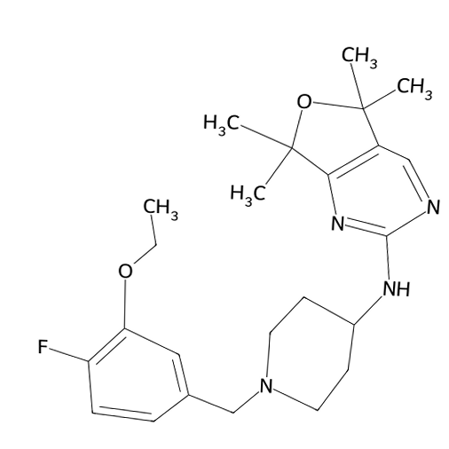 CCOc1cc(CN2CCC(Nc3ncc4c(n3)C(C)(C)OC4(C)C)CC2)ccc1F